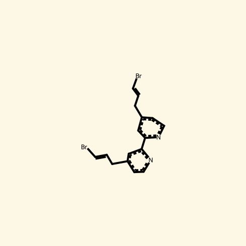 BrC=CCc1ccnc(-c2cc(CC=CBr)ccn2)c1